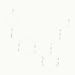 CN1CC(C(=O)N2CCN(c3ccccc3/C=C/C(=O)NO)CC2)C1